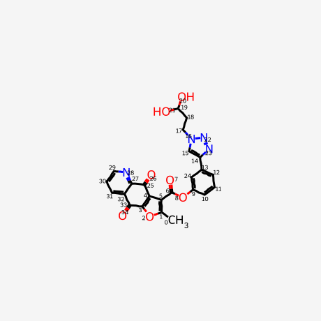 Cc1oc2c(c1C(=O)Oc1cccc(-c3cn(CCC(O)O)nn3)c1)C(=O)c1ncccc1C2=O